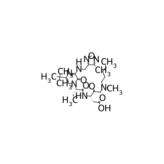 CCCCCN(C)CC(=O)[C@H](CC(=O)O)NC(=O)[C@H](CC)n1cc(C(C)(C)C)nc(NCc2nonc2C)c1=O